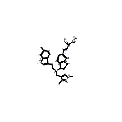 Cc1ccc2c(CCN(Cc3cn(C)nc3C)C3CCc4cc(/C=C/C(=O)NO)ccc43)c[nH]c2c1